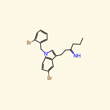 CCCC(=N)CCc1cn(Cc2ccccc2Br)c2ccc(Br)cc12